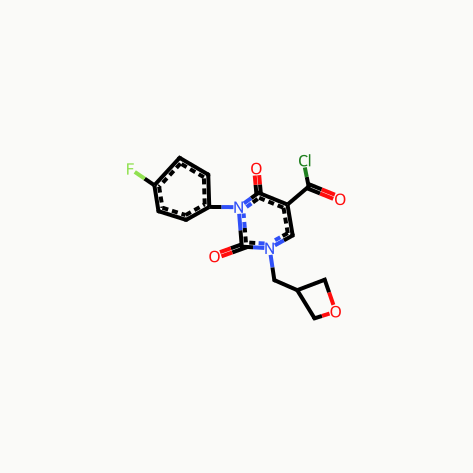 O=C(Cl)c1cn(CC2COC2)c(=O)n(-c2ccc(F)cc2)c1=O